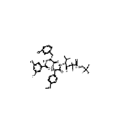 COc1ccc([C@H](NC(=O)[C@H](Cc2cccc(Cl)c2)NC(=O)c2cc(Cl)cc(Cl)c2)C(=O)N[C@H](C(=O)C(F)(F)C(=O)NCC(F)(F)F)C(C)C)cc1